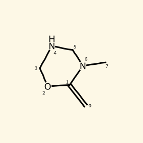 C=C1OCNCN1C